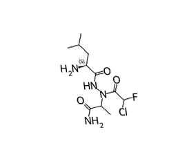 CC(C)C[C@H](N)C(=O)NN(C(=O)C(F)Cl)C(C)C(N)=O